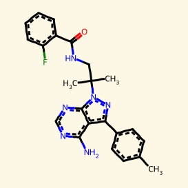 Cc1ccc(-c2nn(C(C)(C)CNC(=O)c3ccccc3F)c3ncnc(N)c23)cc1